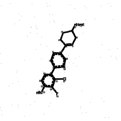 CCCCCCCC1CC=C(c2ccc(-c3ccc(CCCC)c(F)c3Cl)nc2)CC1